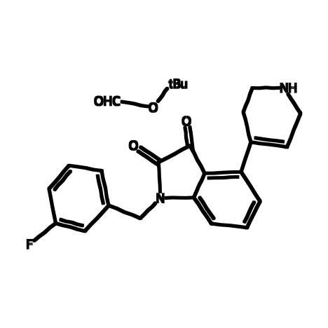 CC(C)(C)OC=O.O=C1C(=O)N(Cc2cccc(F)c2)c2cccc(C3=CCNCC3)c21